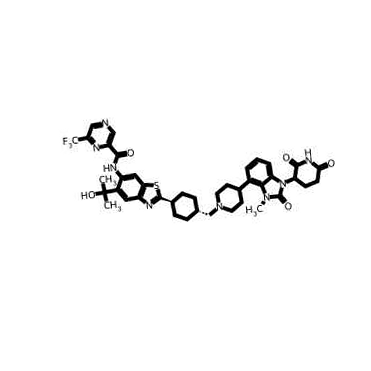 Cn1c(=O)n(C2CCC(=O)NC2=O)c2cccc(C3CCN(C[C@H]4CC[C@H](c5nc6cc(C(C)(C)O)c(NC(=O)c7cncc(C(F)(F)F)n7)cc6s5)CC4)CC3)c21